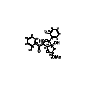 CO[C@@H]1C[C@](O)(C(=O)c2ccccc2C)[C@H](C(O)C(=O)c2ccccc2C)O1